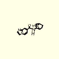 O=C(NC1CC2CCC1N2)c1ccn2ccnc2c1